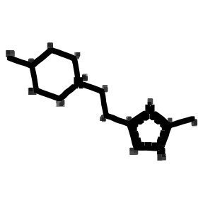 Cc1nc(CCN2CCC(C)CC2)cs1